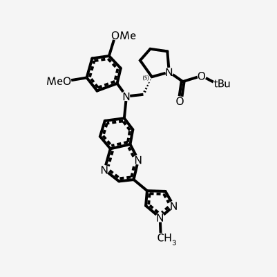 COc1cc(OC)cc(N(C[C@@H]2CCCN2C(=O)OC(C)(C)C)c2ccc3ncc(-c4cnn(C)c4)nc3c2)c1